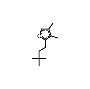 Cc1coc(CCC(C)(C)C)c1C